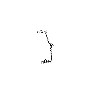 CCCCCCCCCCCCCCCCCCCCCCC#C[P]C#CCCCCCCCCCCCCCCCCCCCCCC